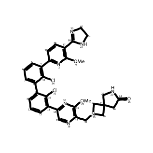 COc1nc(-c2cccc(-c3cccc(-c4cnc(CN5CC6(CNC(=O)C6)C5)c(OC)n4)c3Cl)c2Cl)ccc1C1=NCCN1